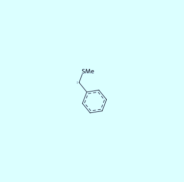 CS[C]c1ccccc1